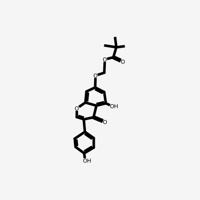 CC(C)(C)C(=O)OCOc1cc(O)c2c(=O)c(-c3ccc(O)cc3)coc2c1